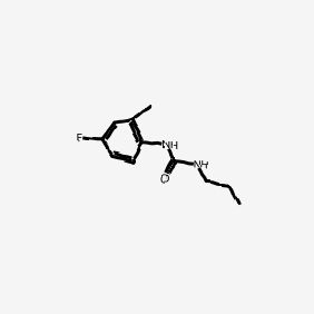 CCCNC(=O)Nc1ccc(F)cc1C